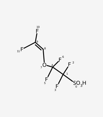 O=S(=O)(O)C(F)(F)C(F)(F)OC=C(F)F